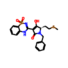 CSCC[C@H]1C(O)=C(C2=NS(=O)(=O)c3ccccc3N2)C(=O)N1Cc1ccccc1